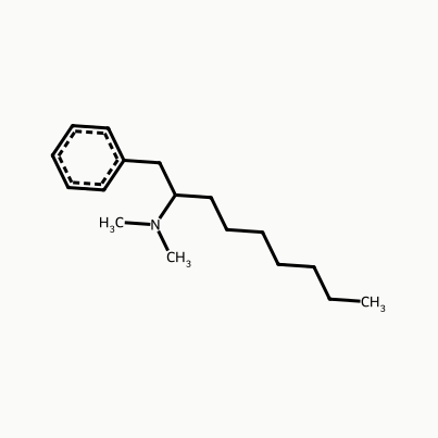 CCCCCCCC(Cc1ccccc1)N(C)C